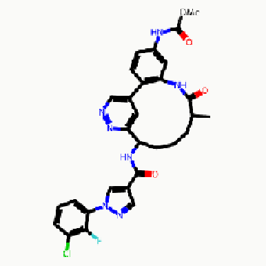 COC(=O)Nc1ccc2c(c1)NC(=O)C(C)CCCC(NC(=O)c1cnn(-c3cccc(Cl)c3F)c1)c1cc-2cnn1